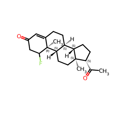 CC(=O)[C@H]1CC[C@H]2[C@@H]3CCC4=CC(=O)CC(F)[C@]4(C)[C@H]3CC[C@]12C